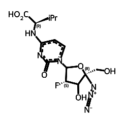 CC(C)[C@@H](Nc1ccn(C2O[C@@](CO)(N=[N+]=[N-])C(O)[C@@H]2F)c(=O)n1)C(=O)O